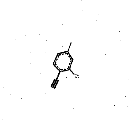 C#Cc1ccc(C)cc1CC